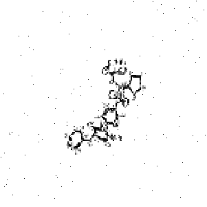 COC(=O)CN(C1CCCC1)S(=O)(=O)c1ccc(-n2[nH]cc(Cc3cccnc3)c2=O)nc1